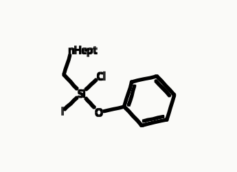 CCCCCCCC[Si](Cl)(I)Oc1ccccc1